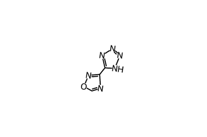 c1nc(-c2nnn[nH]2)no1